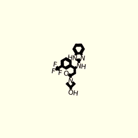 O=C(CC(Nc1nc2ccccc2[nH]1)c1cccc(C(F)(F)F)c1)N1CC(O)C1